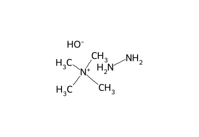 C[N+](C)(C)C.NN.[OH-]